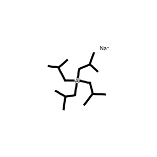 CC(C)[CH2][Al-]([CH2]C(C)C)([CH2]C(C)C)[CH2]C(C)C.[Na+]